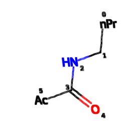 CCCCNC(=O)C(C)=O